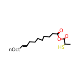 CCCCCCCCC=CCCCCCCCC(=O)OC(=O)C(C)S